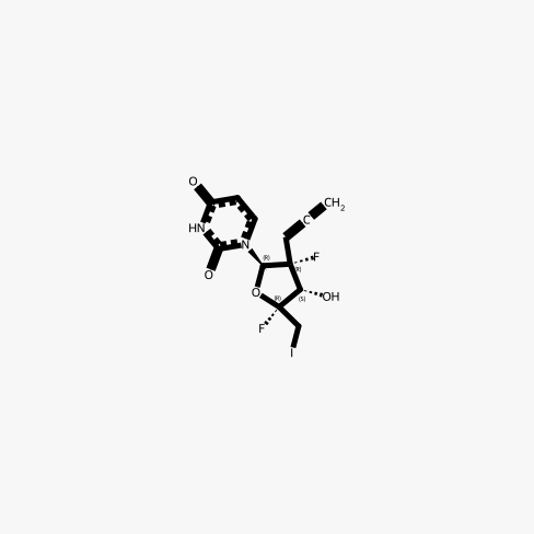 C=C=C[C@]1(F)[C@H](n2ccc(=O)[nH]c2=O)O[C@](F)(CI)[C@H]1O